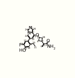 C=C(C(N)=O)C1CC(Oc2cc(-c3cc(F)c(O)cc3CC)cn3cncc23)C1